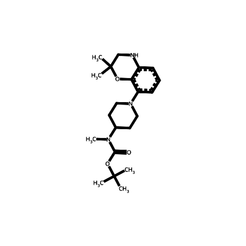 CN(C(=O)OC(C)(C)C)C1CCN(c2cccc3c2OC(C)(C)CN3)CC1